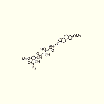 COc1ccc2c(c1)CCC1C2CCC2(C)C(OCCNC(=O)CCC(O)C(O)CCC(=O)Nc3ccc(OC)c(C(N)=O)c3O)CCC12